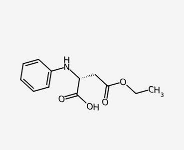 CCOC(=O)C[C@@H](Nc1ccccc1)C(=O)O